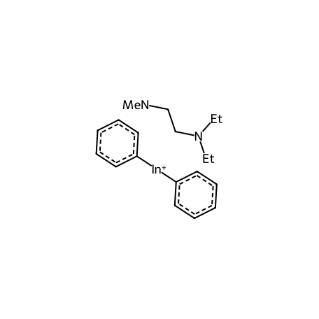 CCN(CC)CC[N-]C.c1cc[c]([In+][c]2ccccc2)cc1